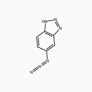 [N-]=[N+]=Nc1ccc2[nH]nnc2c1